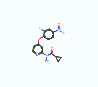 CN(C(=O)C1CC1)c1cc(Oc2ccc([N+](=O)[O-])cc2F)ccn1